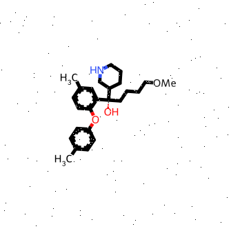 COCCCC[C@@](O)(c1cc(C)ccc1Oc1ccc(C)cc1)C1CCCNC1